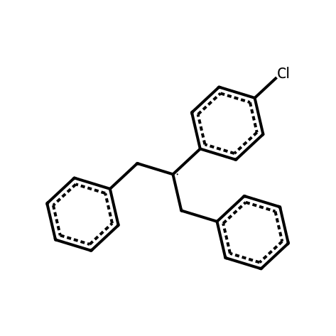 Clc1ccc([C](Cc2ccccc2)Cc2ccccc2)cc1